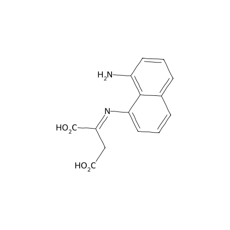 Nc1cccc2cccc(N=C(CC(=O)O)C(=O)O)c12